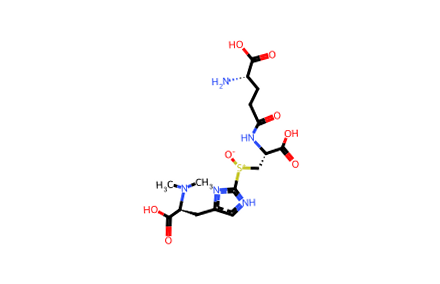 CN(C)[C@@H](Cc1c[nH]c([S+]([O-])C[C@H](NC(=O)CC[C@H](N)C(=O)O)C(=O)O)n1)C(=O)O